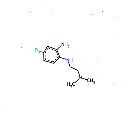 CN(C)CCNc1ccc(F)cc1N